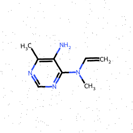 C=CN(C)c1ncnc(C)c1N